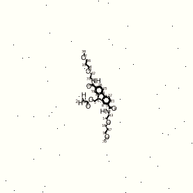 [2H]NC(=O)OCC1c2cc(C(=O)NCCOCCCOC)ccc2-c2ccc(C(=O)NCCOCCCOC)cc21